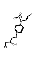 CCC=CN(c1ccc(OCC(O)CO)cc1)[SH](=O)=O